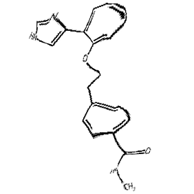 CNC(=O)c1ccc(CCOc2ccccc2-c2c[nH]cn2)cc1